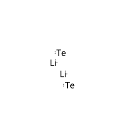 [Li].[Li].[Te].[Te]